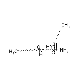 CCCCCCCCCCCC(=O)NCCCCC(NC(=O)CCCCCCCCCCC)C(=O)NCCN